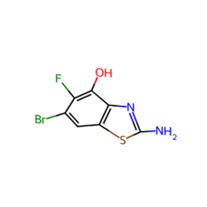 Nc1nc2c(O)c(F)c(Br)cc2s1